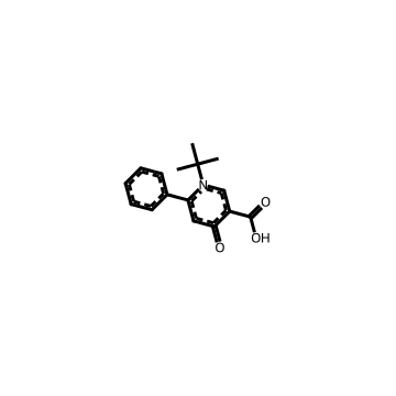 CC(C)(C)n1cc(C(=O)O)c(=O)cc1-c1ccccc1